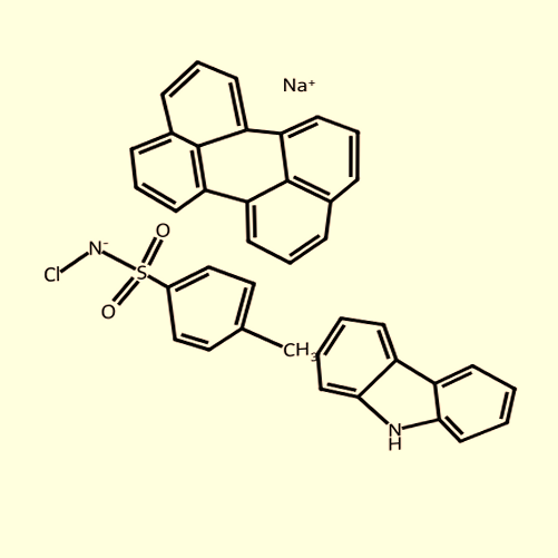 Cc1ccc(S(=O)(=O)[N-]Cl)cc1.[Na+].c1cc2cccc3c4cccc5cccc(c(c1)c23)c54.c1ccc2c(c1)[nH]c1ccccc12